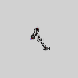 C/C=C1\C[C@H]2C=Nc3cc(OCc4cc(OCCN(C)CC(C)(C)SCC(=O)NCCOCCOCCOCCOCCC(=O)O[N+]5(O)C(=O)CCC5=O)cc(COc5cc6c(cc5OC)C(=O)N5C/C(=C/C)C[C@H]5C=N6)n4)c(OC)cc3C(=O)N2C1